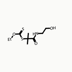 CCOC(=S)SC(C)(C)C(=O)NCCO